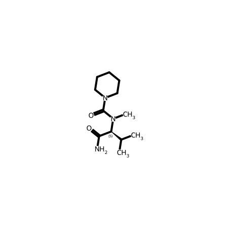 CC(C)[C@@H](C(N)=O)N(C)C(=O)N1CCCCC1